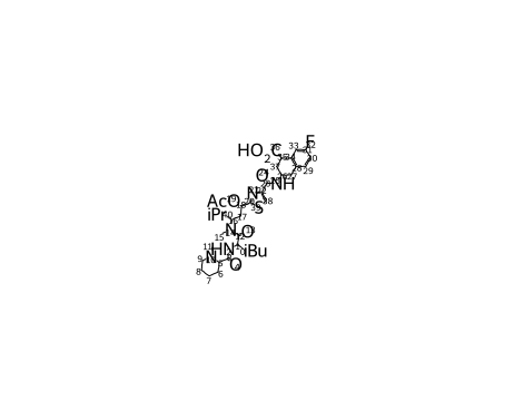 CC[C@H](C)C(NC(=O)C1CCCCN1C)C(=O)N(C)[C@H](CC(OC(C)=O)c1nc(C(=O)N[C@H]2Cc3ccc(F)cc3[C@H](C(=O)O)C2)cs1)C(C)C